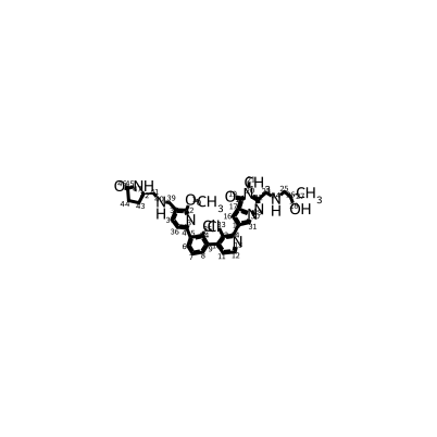 COc1nc(-c2cccc(-c3ccnc(-c4cc5c(=O)n(C)c(CNC[C@H](C)O)nn5c4)c3Cl)c2Cl)ccc1CNC[C@H]1CCC(=O)N1